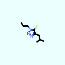 CCCn1nnc(CC(C)C)c1F